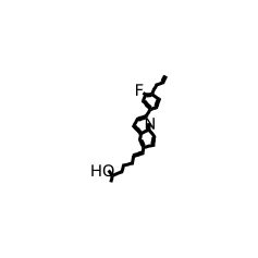 C=CCc1ccc(-c2ccc3cc(C=CCCCC(C)O)ccc3n2)cc1F